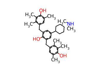 CNC.Cc1cc(Cc2cc(C3CCCCC3)cc(Cc3cc(C)c(O)c(C)c3C)c2O)c(C)c(C)c1O